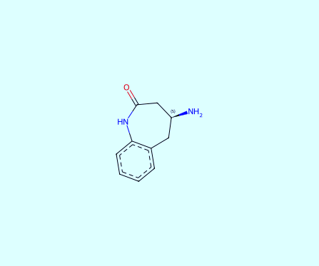 N[C@@H]1CC(=O)Nc2ccccc2C1